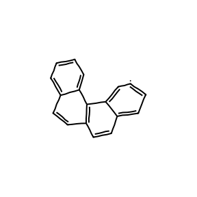 [c]1ccc2ccc3ccc4ccccc4c3c2c1